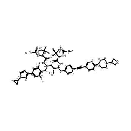 COC(=O)NC(C(=O)N[C@@H](Cc1ccc(C#Cc2ccc(N3CCN(C4COC4)CC3)nc2)cc1)[C@@H](O)CN(Cc1c(F)cc(-c2ccn(C3CC3)n2)cc1F)NC(=O)[C@@H](NC(=O)OC)C(C)(C)C(F)(F)F)C(C)(C)C(F)(F)F